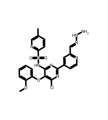 COc1ccccc1Oc1c(Cl)nc(-c2ccnc(C=NNN)c2)nc1NS(=O)(=O)c1ccc(C)cn1